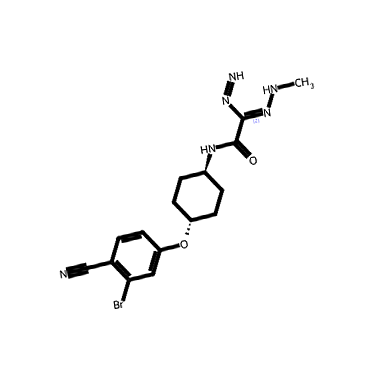 CN/N=C(\N=N)C(=O)N[C@H]1CC[C@H](Oc2ccc(C#N)c(Br)c2)CC1